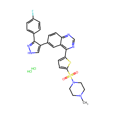 CN1CCN(S(=O)(=O)c2ccc(-c3ncnc4ccc(-c5c[nH]nc5-c5ccc(F)cc5)cc34)s2)CC1.Cl.Cl